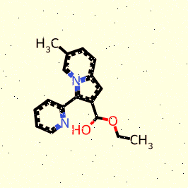 CCOC(O)c1cc2ccc(C)cn2c1-c1ccccn1